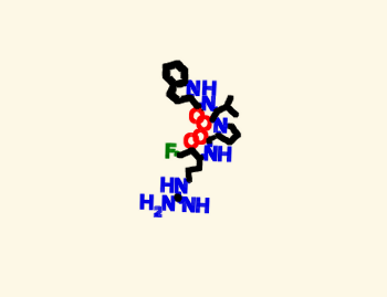 CC(C)C(NC(=O)c1ccc2ccccc2n1)C(=O)N1CCC[C@H]1C(=O)NC(CCCNC(=N)N)C(=O)CF